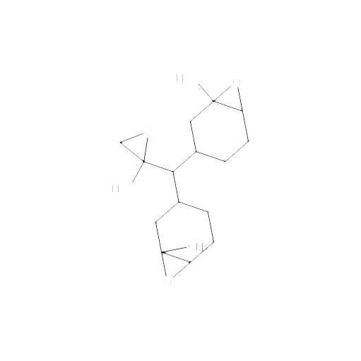 CC12CC(C(C3CCC4OC4(C)C3)C3(C)CO3)CCC1O2